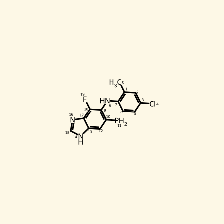 Cc1cc(Cl)ccc1Nc1c(P)cc2[nH]cnc2c1F